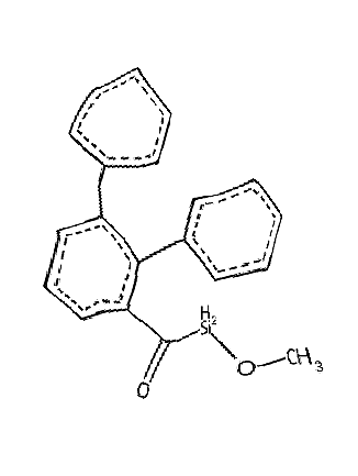 CO[SiH2]C(=O)c1cccc(-c2ccccc2)c1-c1ccccc1